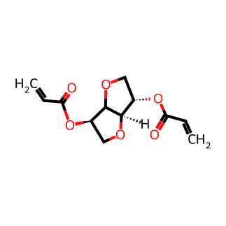 C=CC(=O)O[C@H]1COC2[C@H](OC(=O)C=C)CO[C@@H]21